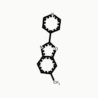 Cc1ccc2nc(-c3ccncc3)oc2c1